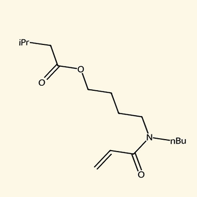 C=CC(=O)N(CCCC)CCCCOC(=O)CC(C)C